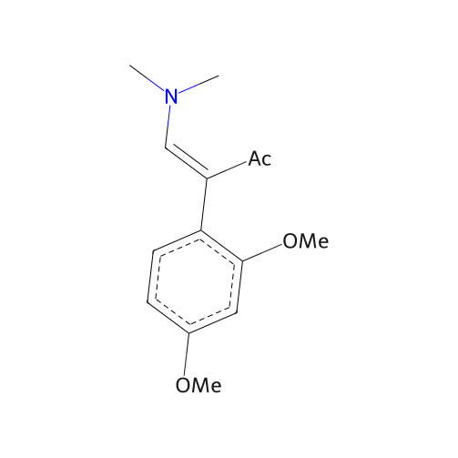 COc1ccc(/C(=C/N(C)C)C(C)=O)c(OC)c1